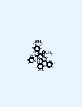 COC(=O)/C(=C(/Nc1ccccn1)Nc1[nH]nc(-c2ccccc2)c1C1=CCCCC1)c1ccc(OC)cc1